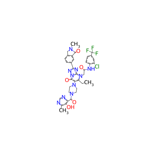 CCc1c(N2CCN(C(=O)c3ncnc(C)c3O)CC2)c(=O)n2nc(-c3ccc4c(c3)C(=O)N(C)C4)nc2n1CC(=O)Nc1ccc(C(F)(F)F)cc1Cl